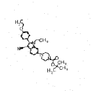 CCOc1ccc(-c2c(C#N)c3ccc(N4CCN(C(=O)OC(C)(C)C)CC4)cc3n2CC)cc1